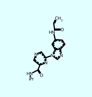 C=CC(=O)Nc1ccc2ncn(-c3cncc(C(=O)NC(C)C)n3)c2c1